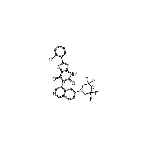 O=c1[nH]c2cc(-c3ccccc3Cl)sc2c(=O)n1-c1cncc2ccc(N3CC(F)(F)OC(F)(F)C3)cc12